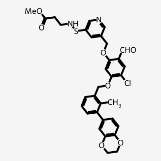 COC(=O)CCNSc1cncc(COc2cc(OCc3cccc(-c4ccc5c(c4)OCCO5)c3C)c(Cl)cc2C=O)c1